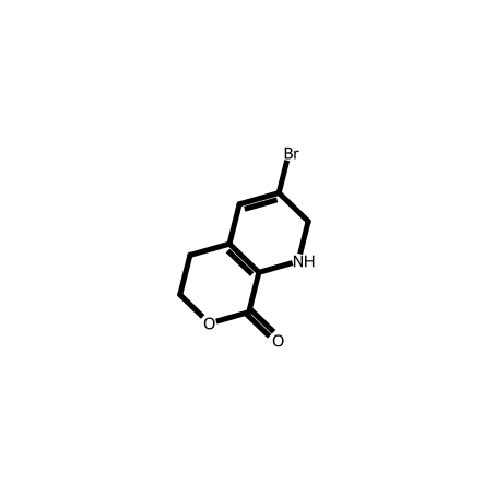 O=C1OCCC2=C1NCC(Br)=C2